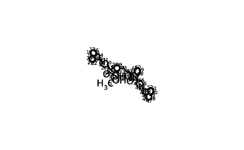 C[C@@H](O)CC1(O)C(=O)N(C2CCN(C3Cc4cccc5cccc3c45)CC2)c2ccc(CCCC3(O)C(=O)N(C4CCN(C5Cc6cccc7cccc5c67)CC4)c4ccccc43)cc21